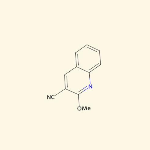 COc1nc2ccccc2cc1C#N